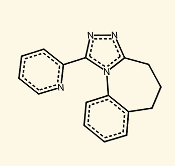 c1ccc(-c2nnc3n2-c2ccccc2CCC3)nc1